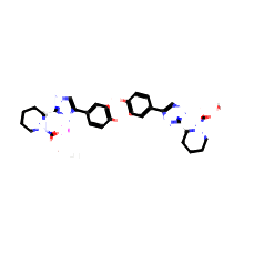 CC(C)(C)OC(=O)N1CCCC[C@H]1c1ncc(-c2ccc3c(c2)Oc2ccc(-c4cnc([C@@H]5CCCCN5C(=O)OC(C)(C)C)[nH]4)cc2O3)[nH]1